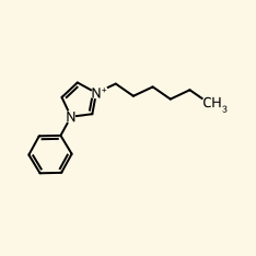 CCCCCC[n+]1ccn(-c2ccccc2)c1